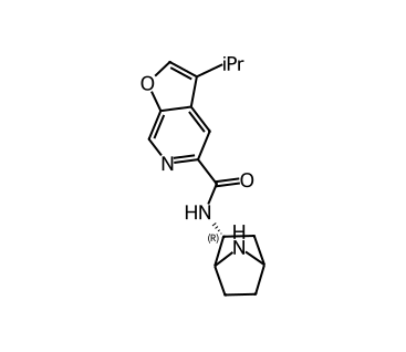 CC(C)c1coc2cnc(C(=O)N[C@@H]3CC4CCC3N4)cc12